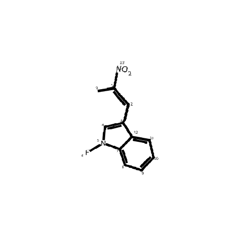 CC(=Cc1cn(F)c2ccccc12)[N+](=O)[O-]